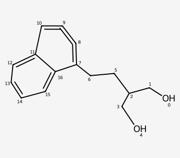 OCC(CO)CCC1=C=C=Cc2ccccc21